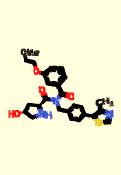 COCCOc1cccc(C(=O)N(Cc2ccc(-c3scnc3C)cc2)C(=O)[C@@H]2C[C@@H](O)CN2)c1